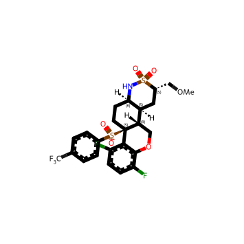 COC[C@@H]1C[C@@H]2[C@@H](CC[C@@]3(S(=O)(=O)c4ccc(C(F)(F)F)cc4)c4c(F)ccc(F)c4OC[C@@H]23)NS1(=O)=O